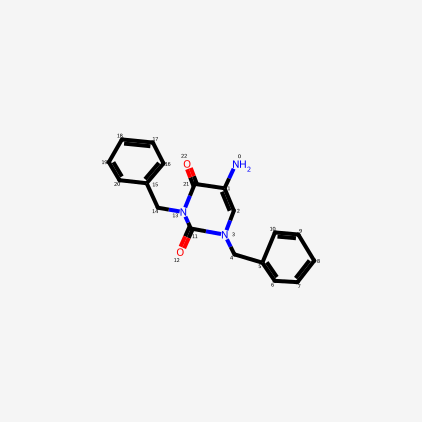 Nc1cn(Cc2ccccc2)c(=O)n(Cc2ccccc2)c1=O